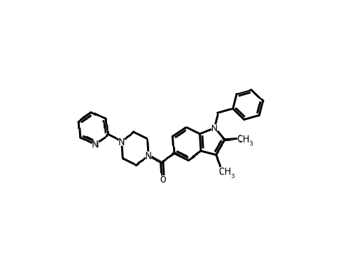 Cc1c(C)n(Cc2ccccc2)c2ccc(C(=O)N3CCN(c4ccccn4)CC3)cc12